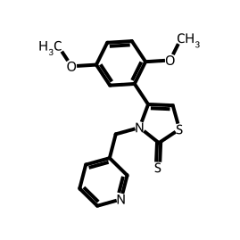 COc1ccc(OC)c(-c2csc(=S)n2Cc2cccnc2)c1